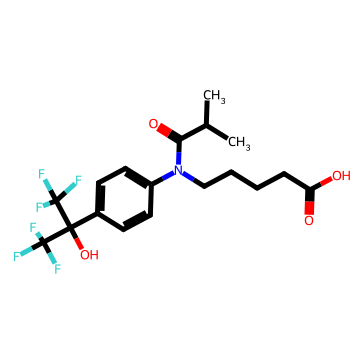 CC(C)C(=O)N(CCCCC(=O)O)c1ccc(C(O)(C(F)(F)F)C(F)(F)F)cc1